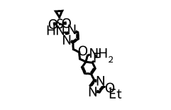 CCOc1cncc(C2=CC(F)C(CCCc3ccnc(NS(=O)(=O)C4CC4)n3)(C(N)=O)C=C2)n1